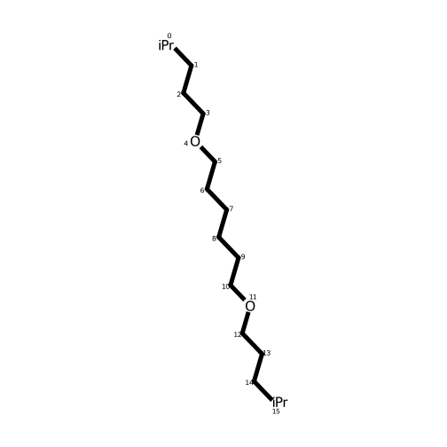 CC(C)CCCOCCCCCCOCCCC(C)C